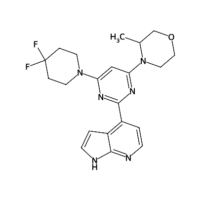 CC1COCCN1c1cc(N2CCC(F)(F)CC2)nc(-c2ccnc3[nH]ccc23)n1